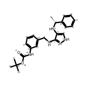 C[C@@H](Nc1c[nH]nc1NCc1cccc(NC(=O)OC(C)(C)C)c1)c1ccccc1